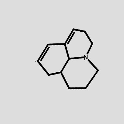 [C]1=CC2=CCCN3CCCC(C1)C23